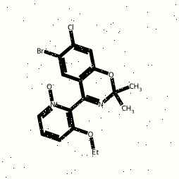 CCOc1ccc[n+]([O-])c1C1=NC(C)(C)Oc2cc(Cl)c(Br)cc21